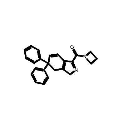 O=C(C1=NCC2=C1C=CC(c1ccccc1)(c1ccccc1)C2)N1CCC1